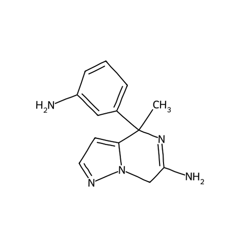 CC1(c2cccc(N)c2)N=C(N)Cn2nccc21